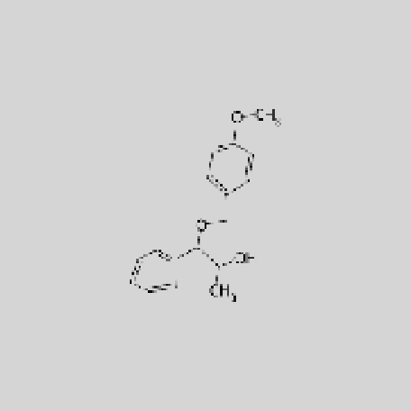 COc1ccc(COC(c2ccccc2)C(C)O)cc1